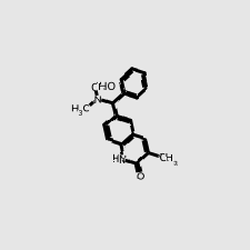 Cc1cc2cc(C(c3ccccc3)N(C)C=O)ccc2[nH]c1=O